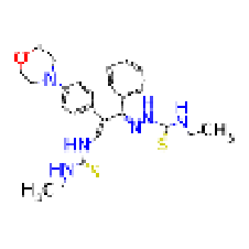 CCNC(=S)N/C=C(/C(=N/NC(=S)NCC)c1ccccc1)c1ccc(N2CCOCC2)cc1